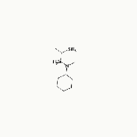 CC([SiH3])[SiH2]N(C)C1CCCCC1